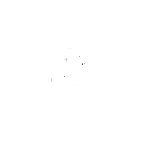 CC(CCC(=O)C(C)(C)C)OC(C)(C)C